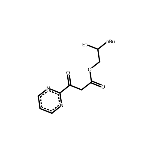 CCCCC(CC)COC(=O)CC(=O)c1ncccn1